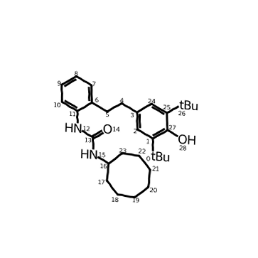 CC(C)(C)c1cc(CCc2ccccc2NC(=O)NC2CCCCCCC2)cc(C(C)(C)C)c1O